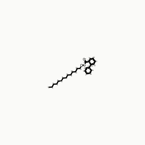 [CH2]CCCCCCCCCCCCCOOC(=O)c1ccccc1-c1ccccc1